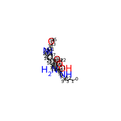 CCCCC(C)(C)CNC[C@H](O)[C@@H](N)C[C@@H](C(C)C)[C@@H](OC(C)=O)c1ccc2cnn(CCCOC)c2c1